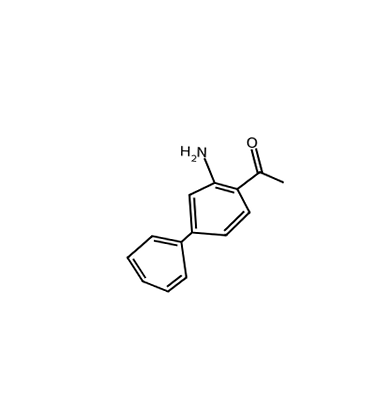 CC(=O)c1ccc(-c2ccccc2)cc1N